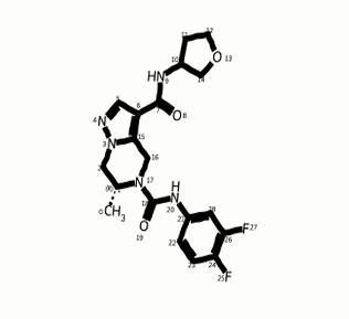 C[C@@H]1Cn2ncc(C(=O)NC3CCOC3)c2CN1C(=O)Nc1ccc(F)c(F)c1